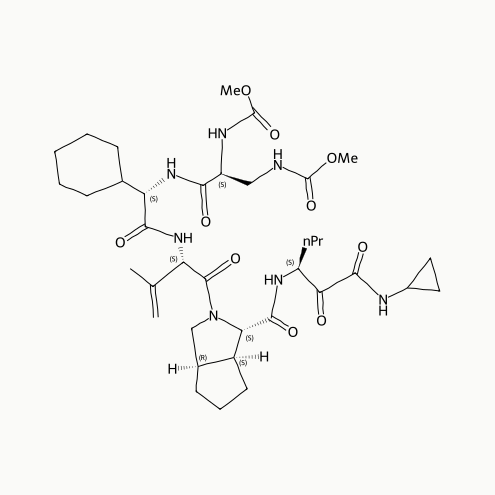 C=C(C)[C@H](NC(=O)[C@@H](NC(=O)[C@H](CNC(=O)OC)NC(=O)OC)C1CCCCC1)C(=O)N1C[C@@H]2CCC[C@@H]2[C@H]1C(=O)N[C@@H](CCC)C(=O)C(=O)NC1CC1